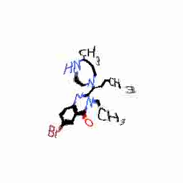 CCC[C@@H](c1nc2ccc(Br)cc2c(=O)n1CC)N1CCN[C@H](C)CC1